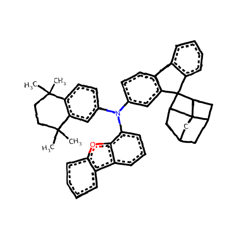 CC1(C)CCC(C)(C)c2cc(N(c3ccc4c(c3)C3(c5ccccc5-4)C4CC5CC6CC3C64C5)c3cccc4c3oc3ccccc34)ccc21